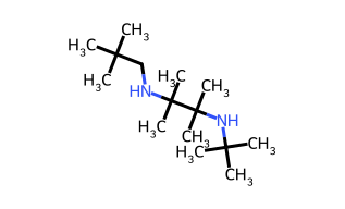 CC(C)(C)CNC(C)(C)C(C)(C)NC(C)(C)C